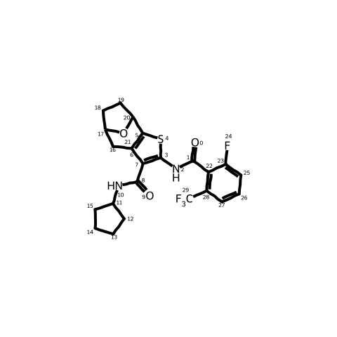 O=C(Nc1sc2c(c1C(=O)NC1CCCC1)CC1CCC2O1)c1c(F)cccc1C(F)(F)F